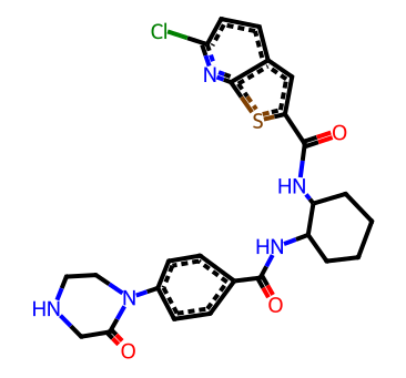 O=C(NC1CCCCC1NC(=O)c1cc2ccc(Cl)nc2s1)c1ccc(N2CCNCC2=O)cc1